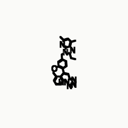 CCc1nc2c(C)cc(C)nc2n1Cc1ccc2c(c1)OCc1ccccc1C2=Cc1nnn[nH]1